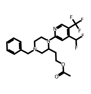 CC(=O)OCCC1CN(Cc2ccccc2)CCN1c1cc(C(F)F)c(C(F)(F)F)cn1